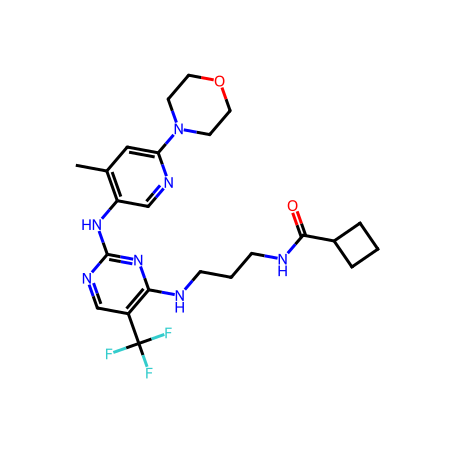 Cc1cc(N2CCOCC2)ncc1Nc1ncc(C(F)(F)F)c(NCCCNC(=O)C2CCC2)n1